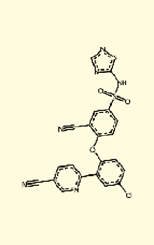 N#Cc1ccc(-c2cc(Cl)ccc2Oc2ccc(S(=O)(=O)Nc3ncns3)cc2C#N)nc1